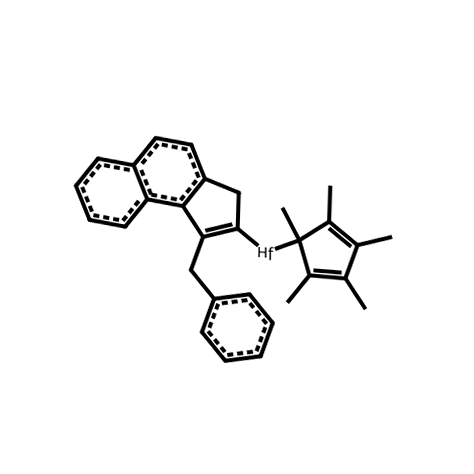 CC1=C(C)[C](C)([Hf][C]2=C(Cc3ccccc3)c3c(ccc4ccccc34)C2)C(C)=C1C